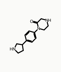 O=C1CNCCN1c1ccc(C2CCNC2)cc1